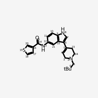 CC(C)(C)CN1CC=C(c2c[nH]c3ccc(NC(=O)c4ccsc4)cc23)CC1